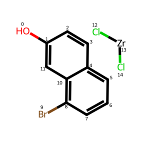 Oc1ccc2cccc(Br)c2c1.[Cl][Zr][Cl]